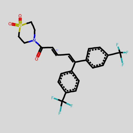 O=C(/C=C/C=C(c1ccc(C(F)(F)F)cc1)c1ccc(C(F)(F)F)cc1)N1CCS(=O)(=O)CC1